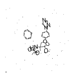 COC(=O)C(C)(COc1ccc(-n2cncn2)cc1)NS(C)(=O)=O.c1ccccc1